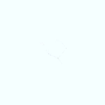 CC(CBr)N=C=O